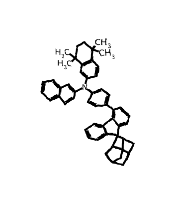 CC1(C)CCC(C)(C)c2cc(N(c3ccc(-c4cccc5c4-c4ccccc4C54C5CC6CC7CC4C75C6)cc3)c3ccc4ccccc4c3)ccc21